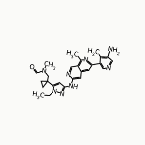 CCn1nc(Nc2cc3cc(-c4cncc(N)c4C)nc(C)c3cn2)cc1C1(CN(C)C=O)CC1